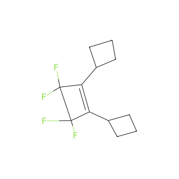 FC1(F)C(C2CCC2)=C(C2CCC2)C1(F)F